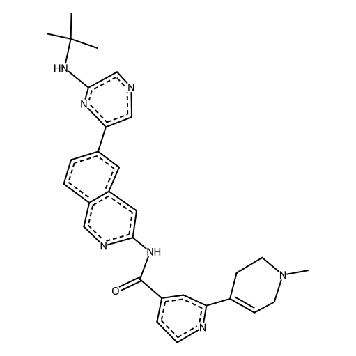 CN1CC=C(c2cc(C(=O)Nc3cc4cc(-c5cncc(NC(C)(C)C)n5)ccc4cn3)ccn2)CC1